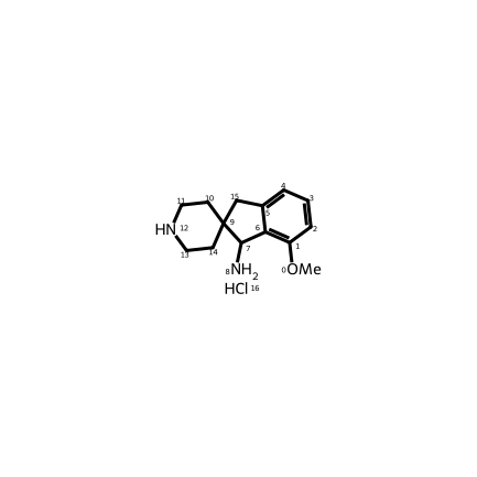 COc1cccc2c1C(N)C1(CCNCC1)C2.Cl